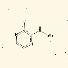 CCCCNc1nccnc1Cl